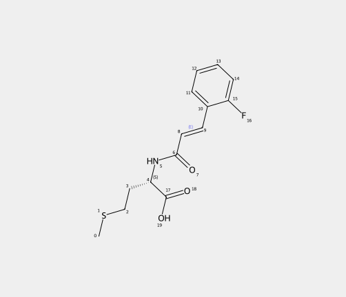 CSCC[C@H](NC(=O)/C=C/c1ccccc1F)C(=O)O